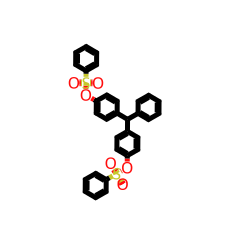 O=S(=O)(Oc1ccc(C(c2ccccc2)c2ccc(OS(=O)(=O)c3ccccc3)cc2)cc1)c1ccccc1